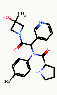 CC1(O)CN(C(=O)C(c2cccnc2)N(C(=O)[C@H]2CCCN2)c2ccc(C(C)(C)C)cc2)C1